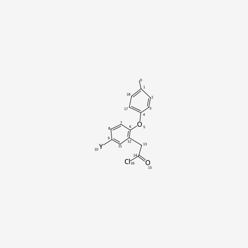 Cc1ccc(Oc2cc[c]([Y])cc2CC(=O)Cl)cc1